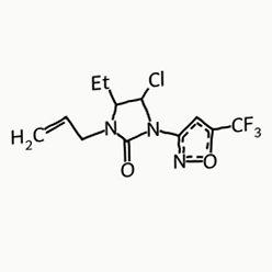 C=CCN1C(=O)N(c2cc(C(F)(F)F)on2)C(Cl)C1CC